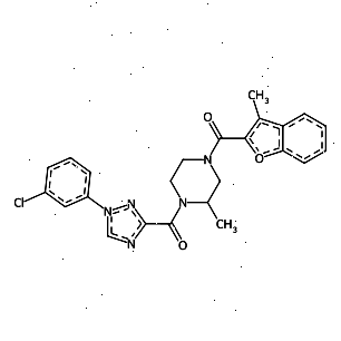 Cc1c(C(=O)N2CCN(C(=O)c3ncn(-c4cccc(Cl)c4)n3)C(C)C2)oc2ccccc12